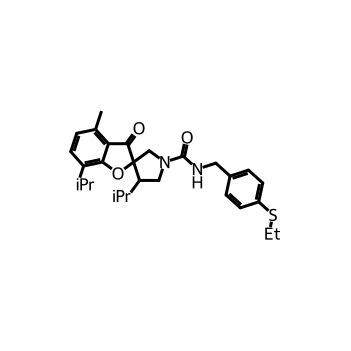 CCSc1ccc(CNC(=O)N2CC(C(C)C)C3(C2)Oc2c(C(C)C)ccc(C)c2C3=O)cc1